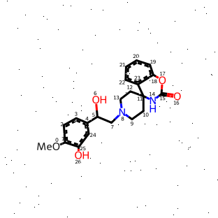 COc1ccc(C(O)CN2CCC3(CC2)NC(=O)Oc2ccccc23)cc1O